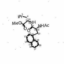 COC(=O)[C@H](CC(C)C)NC(=O)[C@H](Cc1cccc2ccccc12)NC(C)=O